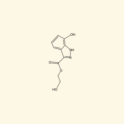 O=C(OCCO)c1n[nH]c2c(O)cccc12